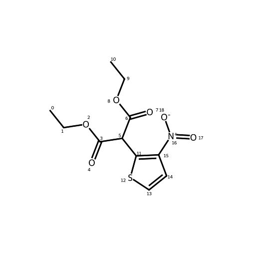 CCOC(=O)C(C(=O)OCC)c1sccc1[N+](=O)[O-]